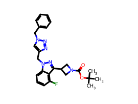 CC(C)(C)OC(=O)N1CC(c2nn(Cc3cn(Cc4ccccc4)nn3)c3cccc(F)c23)C1